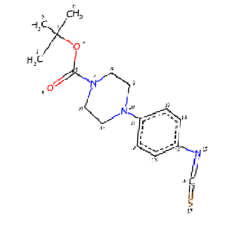 CC(C)(C)OC(=O)N1CCN(c2ccc(N=C=S)cc2)CC1